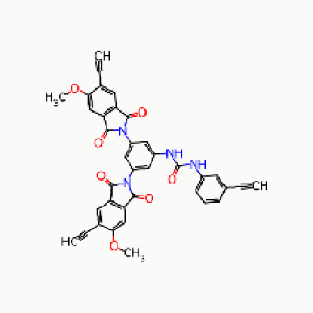 C#Cc1cccc(NC(=O)Nc2cc(N3C(=O)c4cc(C#C)c(OC)cc4C3=O)cc(N3C(=O)c4cc(C#C)c(OC)cc4C3=O)c2)c1